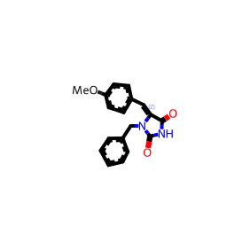 COc1ccc(/C=C2/C(=O)NC(=O)N2Cc2ccccc2)cc1